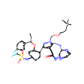 C[C@@H](Oc1cc(NS(=O)(=O)C(F)F)ccc1-c1nn(COCC[Si](C)(C)C)c(Nc2cnccn2)c1C(N)=O)c1ccc(F)cc1